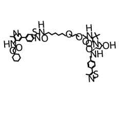 Cc1ncc(-c2ccc3nc(NC(=O)CCCCCCOCCOCC(=O)N[C@H](C(=O)N4C[C@H](O)C[C@H]4C(=O)NCc4ccc(-c5scnc5C)cc4)C(C)(C)C)sc3c2)cc1NC(=O)OC1CCCCC1